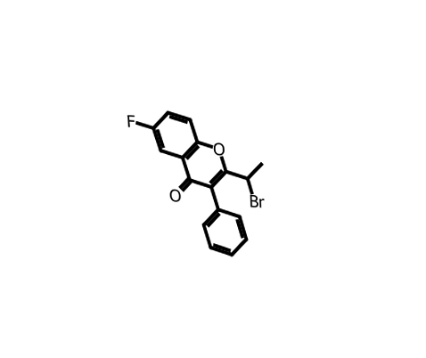 CC(Br)c1oc2ccc(F)cc2c(=O)c1-c1ccccc1